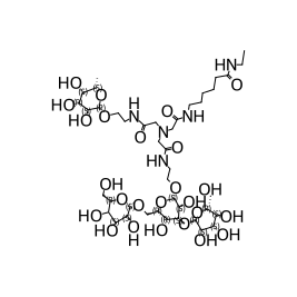 CCNC(=O)CCCCCNC(=O)CN(CC(=O)NCCO[C@@H]1O[C@@H](C)[C@@H](O)[C@@H](O)[C@@H]1O)CC(=O)NCCO[C@H]1O[C@H](CO[C@H]2O[C@H](CO)C(O)[C@H](O)[C@@H]2O)[C@@H](O)[C@H](O[C@H]2O[C@H](CO)[C@@H](O)[C@H](O)[C@@H]2O)[C@@H]1O